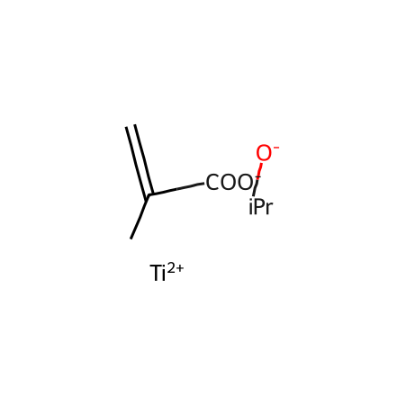 C=C(C)C(=O)[O-].CC(C)[O-].[Ti+2]